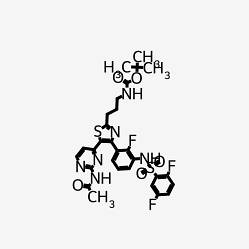 CC(=O)Nc1nccc(-c2sc(CCCNC(=O)OC(C)(C)C)nc2-c2cccc(NS(=O)(=O)c3cc(F)ccc3F)c2F)n1